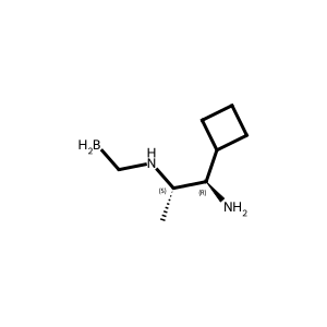 BCN[C@@H](C)[C@H](N)C1CCC1